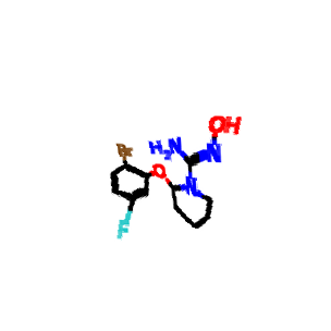 N/C(=N\O)N1CCCCC1Oc1cc(F)ccc1Br